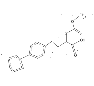 COC(=S)SC(CCc1ccc(-c2ccccc2)cc1)C(=O)O